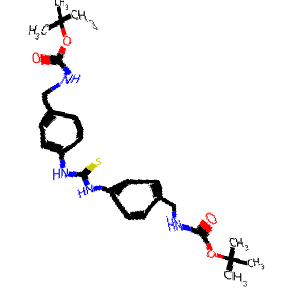 CC(C)(C)OC(=O)NCc1ccc(NC(=S)Nc2ccc(CNC(=O)OC(C)(C)C)cc2)cc1